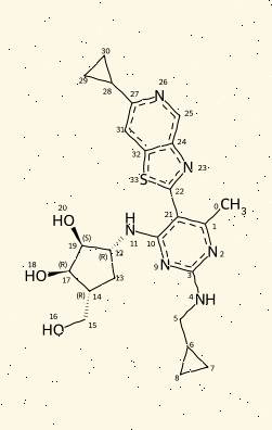 Cc1nc(NCC2CC2)nc(N[C@@H]2C[C@H](CO)[C@@H](O)[C@H]2O)c1-c1nc2cnc(C3CC3)cc2s1